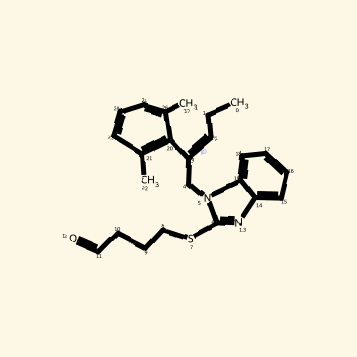 CC/C=C(/Cn1c(SCCCC=O)nc2ccccc21)c1c(C)cccc1C